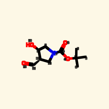 CC(C)(C)OC(=O)N1C[C@H](O)[C@@H](C=O)C1